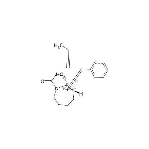 CCC#C[C@@]1(O)/C(=C/c2ccccc2)C[C@@H]2CCCCN3C(=O)CC[C@]231